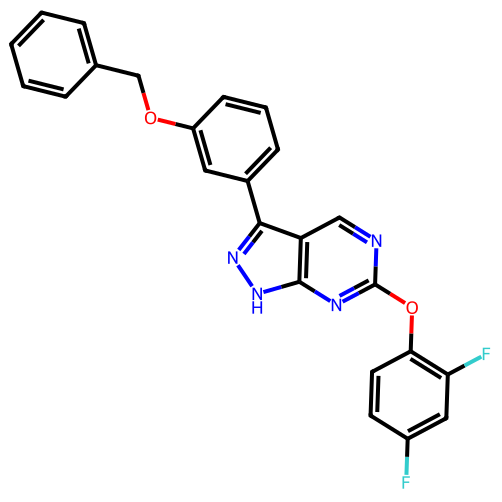 Fc1ccc(Oc2ncc3c(-c4cccc(OCc5ccccc5)c4)n[nH]c3n2)c(F)c1